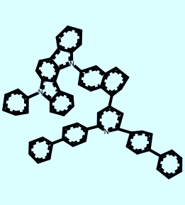 c1ccc(-c2ccc(-c3cc(-c4cccc5cc(-n6c7ccccc7c7ccc8c(c9ccccc9n8-c8ccccc8)c76)ccc45)cc(-c4ccc(-c5ccccc5)cc4)n3)cc2)cc1